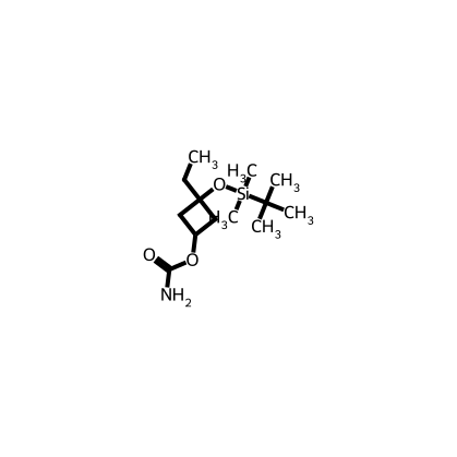 CCC1(O[Si](C)(C)C(C)(C)C)CC(OC(N)=O)C1